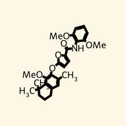 COc1cccc(OC)c1NC(=O)c1ccc(Oc2c(C)cc3c(c2OC)C(C)(C)CCC3)o1